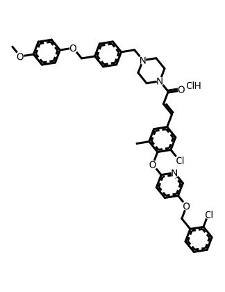 COc1ccc(OCc2ccc(CN3CCN(C(=O)/C=C/c4cc(C)c(Oc5ccc(OCc6ccccc6Cl)cn5)c(Cl)c4)CC3)cc2)cc1.Cl